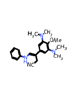 COc1c(N(C)C)cc(C(=CNc2ccccc2)CC#N)cc1N(C)C